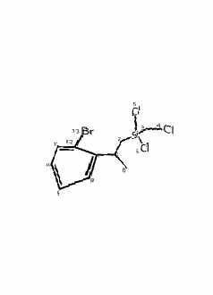 CC(C[Si](Cl)(Cl)Cl)c1ccccc1Br